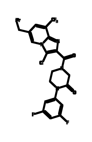 CC(C)Cc1cc(C(F)(F)F)c2nc(C(=O)N3CCN(c4cc(F)cc(F)c4)C(=O)C3)c(Cl)n2c1